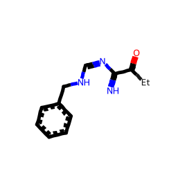 CCC(=O)C(=N)/N=C\NCc1ccccc1